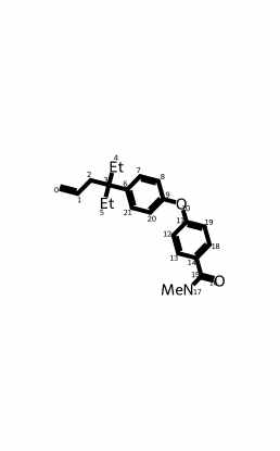 C=CCC(CC)(CC)c1ccc(Oc2ccc(C(=O)NC)cc2)cc1